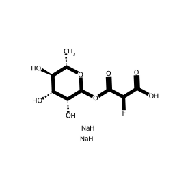 C[C@@H]1OC(OC(=O)C(F)C(=O)O)[C@H](O)[C@H](O)[C@H]1O.[NaH].[NaH]